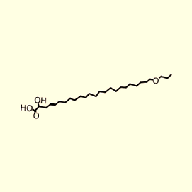 CCCOCCCCCCCCCCCCCCCCCCCC=CCC(O)C(=O)O